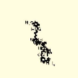 Cc1cccc(C(=O)NCCCCC(NC(=O)CNC(=O)[C@@H](CCC=O)NC(=O)CNC(=O)c2cccc(C(N)=O)c2)C(=O)O)c1